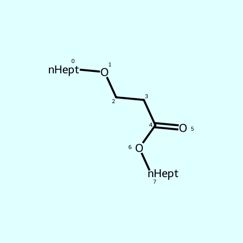 CCCCCCCOCCC(=O)OCCCCCCC